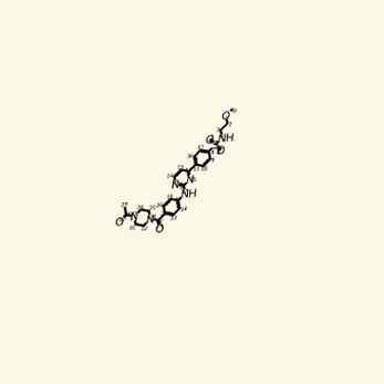 COCCNS(=O)(=O)c1ccc(-c2ccnc(Nc3ccc(C(=O)N4CCN(C(C)=O)CC4)cc3)n2)cc1